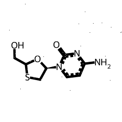 Nc1ccn([C@H]2CSC(CO)O2)c(=O)n1